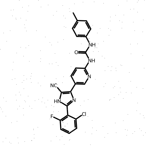 Cc1ccc(NC(=O)Nc2ccc(-c3nc(-c4c(F)cccc4Cl)[nH]c3C#N)cn2)cc1